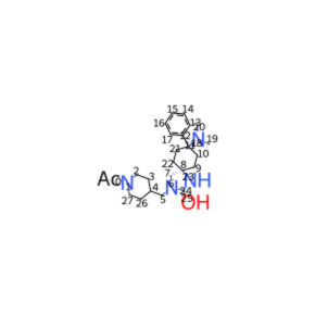 CC(=O)N1CCC(CN2C[C@]3(CC[C@](c4ccccc4)(N(C)C)CC3)NC2O)CC1